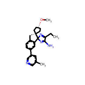 CCC1=NC2(N=C1N)c1cc(-c3cncc(C)c3)ccc1C[C@]21CC[C@@H](OC)CC1